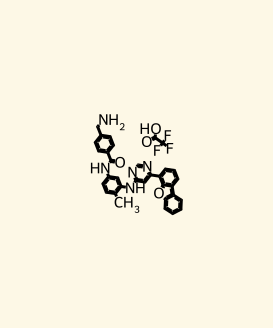 Cc1ccc(NC(=O)c2ccc(CN)cc2)cc1Nc1cc(-c2cccc3c2oc2ccccc23)ncn1.O=C(O)C(F)(F)F